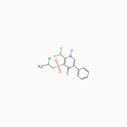 CC(Br)CS(=O)(=O)c1c(C(F)F)n(Cl)cc(-c2ccccc2)c1=S